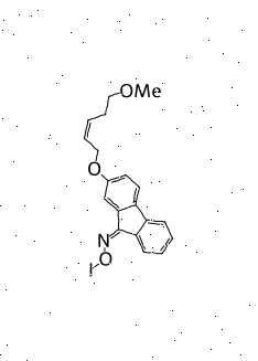 COCC/C=C\COc1ccc2c(c1)/C(=N/OI)c1ccccc1-2